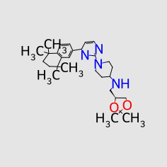 CC1(C)OC[C@H](CNC2CCN(c3nccc(-c4ccc5c(c4)C(C)(C)CCC5(C)C)n3)CC2)O1